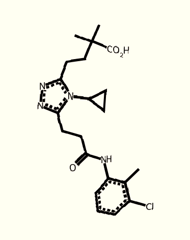 Cc1c(Cl)cccc1NC(=O)CCc1nnc(CCC(C)(C)C(=O)O)n1C1CC1